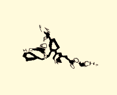 CCOC(=O)Cc1cncc(-c2ccc(C(F)(F)F)cc2CN(Cc2ccccc2)C(C)=O)c1